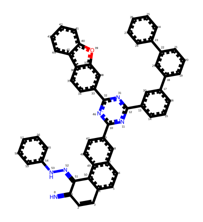 N=C1C=Cc2ccc3cc(-c4nc(-c5cccc(-c6cccc(-c7ccccc7)c6)c5)nc(-c5ccc6c(c5)oc5ccccc56)n4)ccc3c2/C1=N/Nc1ccccc1